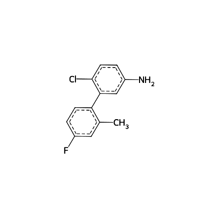 Cc1cc(F)ccc1-c1cc(N)ccc1Cl